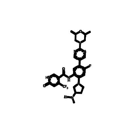 CCN(C)C1CCN(c2cc(F)c(-c3cnc(N4CC(C)OC(C)C4)nc3)cc2NC(=O)c2c[nH]c(=O)cc2C(F)(F)F)C1